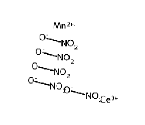 O=[N+]([O-])[O-].O=[N+]([O-])[O-].O=[N+]([O-])[O-].O=[N+]([O-])[O-].O=[N+]([O-])[O-].[Ce+3].[Mn+2]